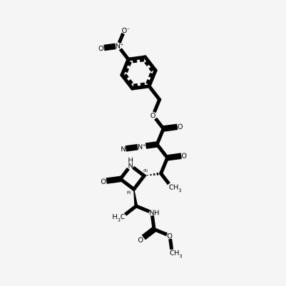 COC(=O)NC(C)[C@H]1C(=O)N[C@@H]1C(C)C(=O)C(=[N+]=[N-])C(=O)OCc1ccc([N+](=O)[O-])cc1